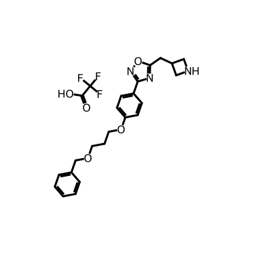 O=C(O)C(F)(F)F.c1ccc(COCCCOc2ccc(-c3noc(CC4CNC4)n3)cc2)cc1